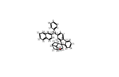 c1ccc(N(c2ccc3c(c2)C2(c4ccccc4-3)C3CC4CC(C3)CC2C4)c2ccc3ccccc3c2)cc1